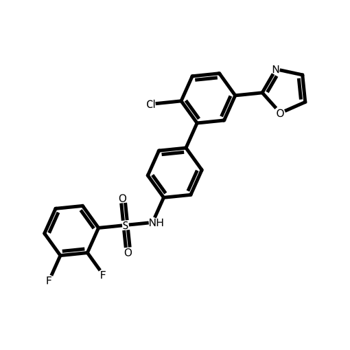 O=S(=O)(Nc1ccc(-c2cc(-c3ncco3)ccc2Cl)cc1)c1cccc(F)c1F